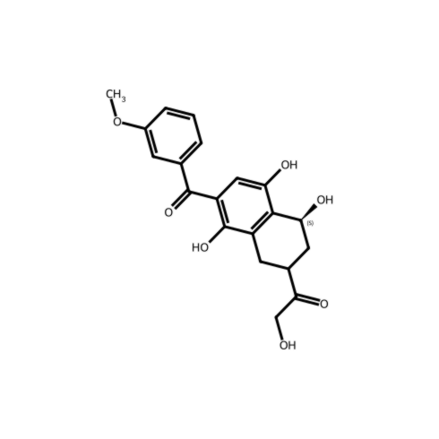 COc1cccc(C(=O)c2cc(O)c3c(c2O)CC(C(=O)CO)C[C@@H]3O)c1